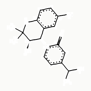 CC(O)c1ccn([C@H]2c3cc(C#N)ccc3OC(C)(C)[C@@H]2O)c(=O)c1